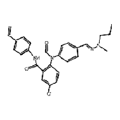 C=Cc1ccc(NC(=O)c2cc(Cl)ccc2N(C=O)c2ccc(C=NN(C)CCC)cc2)cc1